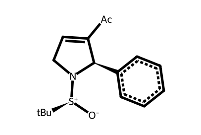 CC(=O)C1=CCN([S@@+]([O-])C(C)(C)C)[C@@H]1c1ccccc1